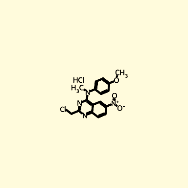 COc1ccc(N(C)c2nc(CCl)nc3ccc([N+](=O)[O-])cc23)cc1.Cl